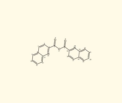 O=C(OC(=O)c1ccc2ccccc2n1)c1ccc2ccccc2n1